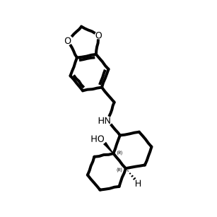 O[C@]12CCCC[C@@H]1CCCC2NCc1ccc2c(c1)OCO2